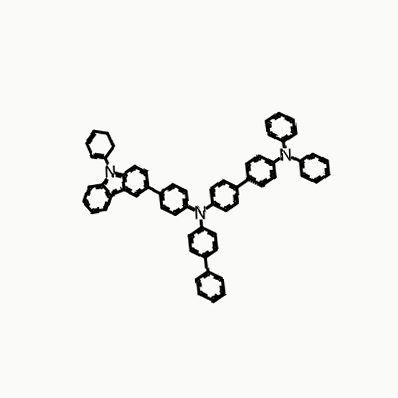 C1=CCCC(n2c3ccccc3c3cc(-c4ccc(N(c5ccc(-c6ccccc6)cc5)c5ccc(-c6ccc(N(c7ccccc7)c7ccccc7)cc6)cc5)cc4)ccc32)=C1